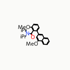 COc1cccc(-c2cc(OC)c3ccccc3c2)c1C(=O)N(C(C)C)C(C)C